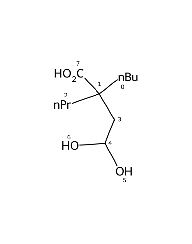 CCCCC(CCC)(CC(O)O)C(=O)O